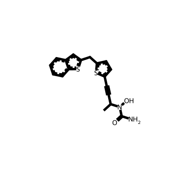 CC(C#Cc1ccc(Cc2cc3ccccc3s2)s1)N(O)C(N)=O